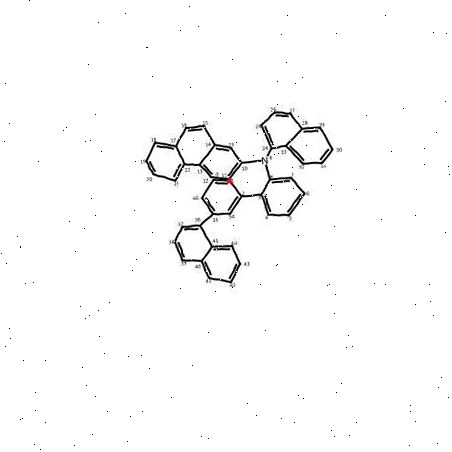 c1cc(-c2ccccc2N(c2ccc3c(ccc4ccccc43)c2)c2cccc3ccccc23)cc(-c2cccc3ccccc23)c1